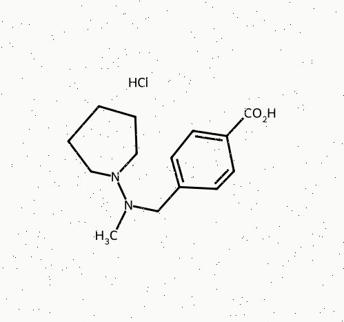 CN(Cc1ccc(C(=O)O)cc1)N1CCCCC1.Cl